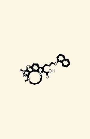 Cc1c2c(nn1C)N(C)CCCCCn1c(C(=O)O)c(CCCOc3cccc4ccccc34)c3ccc(Cl)c-2c31